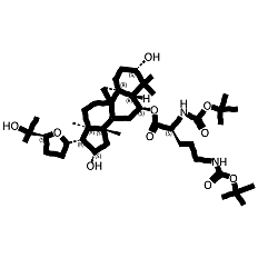 CC(C)(C)OC(=O)NCCC[C@H](NC(=O)OC(C)(C)C)C(=O)O[C@H]1CC2C3(CC[C@]4(C)[C@@H](C5CC[C@@H](C(C)(C)O)O5)[C@@H](O)C[C@@]24C)C[C@@]32CC[C@H](O)C(C)(C)[C@H]12